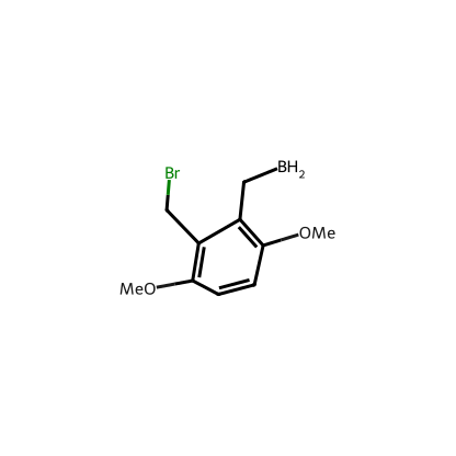 BCc1c(OC)ccc(OC)c1CBr